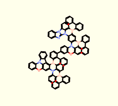 c1ccc(-c2ccccc2B2c3cc4c(cc3N3c5ccc(-c6cccc(B7c8cccc9c8N(c8ccccc8B9c8ccccc8-c8ccccc8)c8cc9c%10c(c87)c7ccccc7n%10-c7ccccc7O9)c6-c6ccccc6)cc5Oc5cccc2c53)-n2c3c(cccc3n3c5ccccc5nc23)B4c2ccccc2-c2ccccc2)cc1